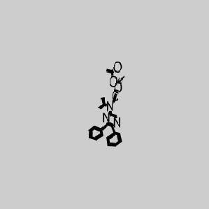 CC(=O)O[C@@H](C)OCCN(c1cnc(-c2ccccc2)c(-c2ccccc2)n1)C(C)C